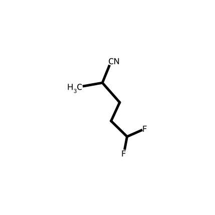 CC(C#N)CCC(F)F